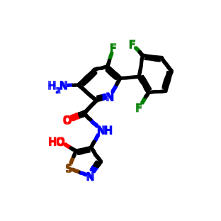 Nc1cc(F)c(-c2c(F)cccc2F)nc1C(=O)Nc1cnsc1O